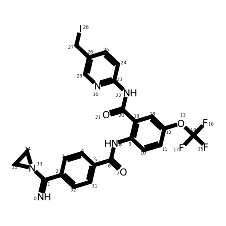 N=C(c1ccc(C(=O)Nc2ccc(OC(F)(F)F)cc2C(=O)Nc2ccc(CI)cn2)cc1)N1CC1